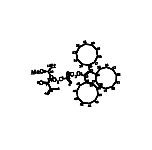 C=C(C)C(=O)O.C=C(C)C(=O)OC(CC)OC.O=C(O)C(=C(C1CCCCCCCCC1)C1CCCCCCCCC1)C1CCCCCCCCC1